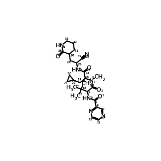 CN(C(=O)C(NC(=O)c1cnccn1)C(C)(C)C)C(CC1CC1)C(=O)NC(C#N)CC1CCCNC1=O